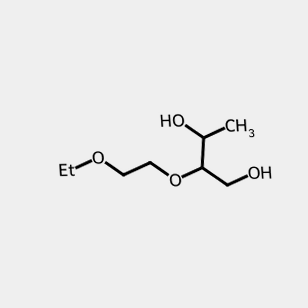 CCOCCOC(CO)C(C)O